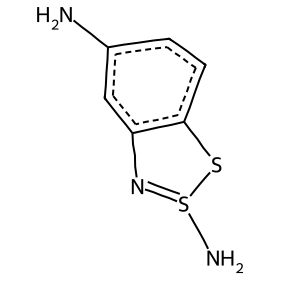 Nc1ccc2c(c1)N=S(N)S2